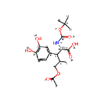 CC(=O)OCC(C)C(c1ccc(O)c(O)c1)[C@H](NC(=O)OC(C)(C)C)C(=O)O